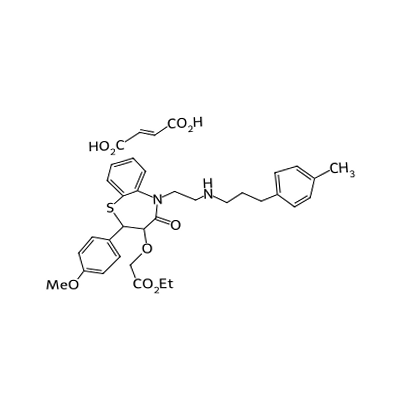 CCOC(=O)COC1C(=O)N(CCNCCCc2ccc(C)cc2)c2ccccc2SC1c1ccc(OC)cc1.O=C(O)C=CC(=O)O